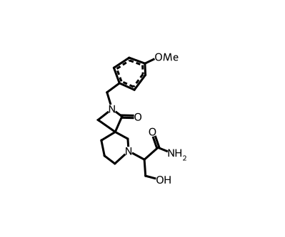 COc1ccc(CN2CC3(CCCN(C(CO)C(N)=O)C3)C2=O)cc1